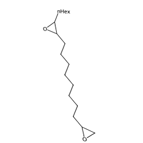 CCCCCCC1OC1CCCCCCCCC1CO1